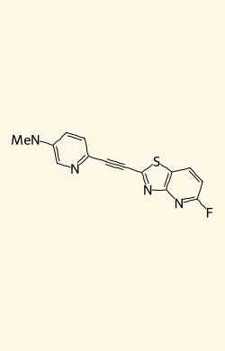 CNc1ccc(C#Cc2nc3nc(F)ccc3s2)nc1